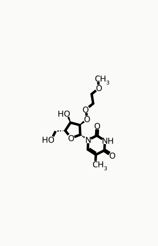 COCCOO[C@@H]1[C@H](O)[C@@H](CO)O[C@H]1n1cc(C)c(=O)[nH]c1=O